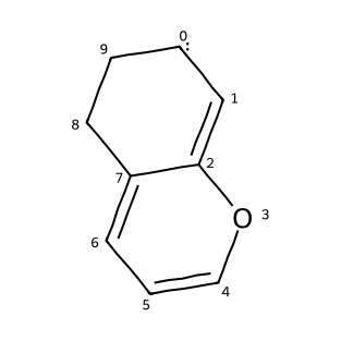 [C]1C=C2OC=CC=C2CC1